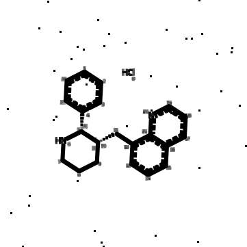 Cl.c1ccc([C@H]2NCCC[C@H]2Cc2cccc3cccnc23)cc1